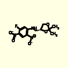 CC1(C)OC[C@@H](CNc2cc(F)c([N+](=O)[O-])cc2[N+](=O)[O-])O1